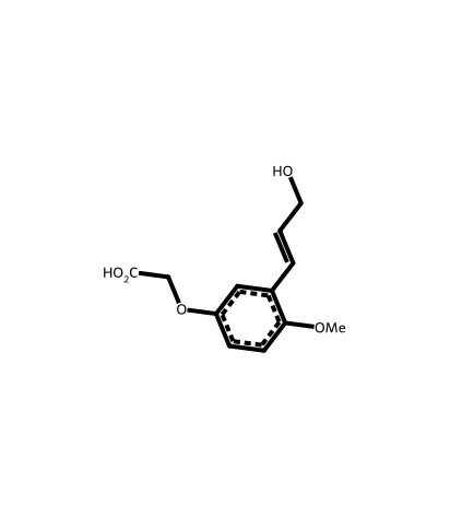 COc1ccc(OCC(=O)O)cc1C=CCO